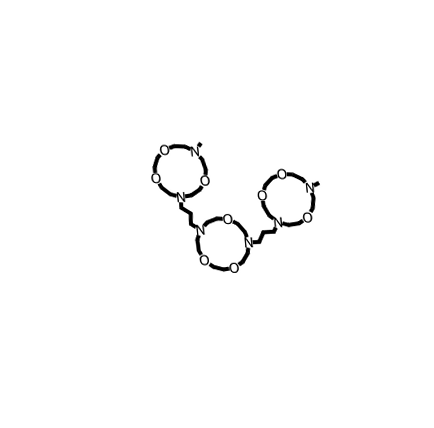 CN1CCOCCOCCN(CCCN2CCOCCOCCN(CCCN3CCOCCOCCN(C)CCOCC3)CCOCC2)CCOCC1